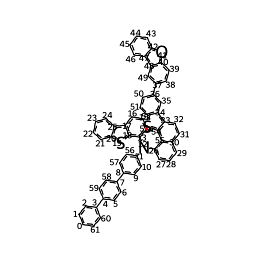 c1ccc(-c2ccc(-c3ccc(N(c4cccc5c4sc4ccccc45)c4cccc5ccc6c7cc(-c8ccc9oc%10ccccc%10c9c8)ccc7sc6c45)cc3)cc2)cc1